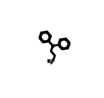 PCCN(c1ccccc1)c1ccccc1